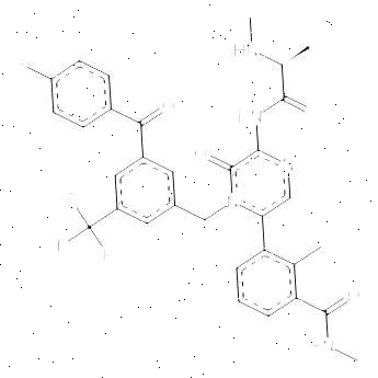 CNC(=O)c1cccc(-c2cnc(NC(=O)[C@H](C)NC)c(=O)n2Cc2cc(C(=O)c3ccc(F)cc3)cc(C(F)(F)F)c2)c1C